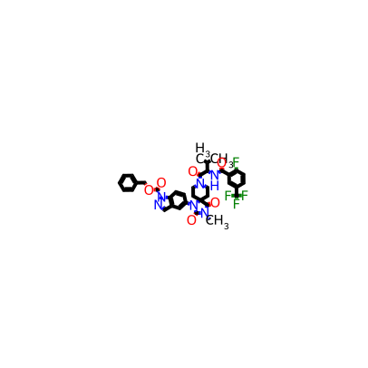 CC(C)C(NC(=O)c1cc(C(F)(F)F)ccc1F)C(=O)N1CCC2(CC1)C(=O)N(C)C(=O)N2c1ccc2c(cnn2C(=O)OCc2ccccc2)c1